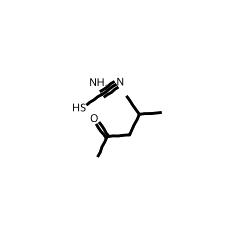 CC(=O)CC(C)C.N.N#CS